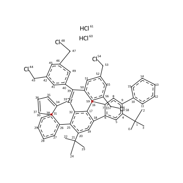 CC(C)(C)c1cc2c(cc1-c1ccccc1)Cc1c-2cc(C(C)(C)C)c(-c2ccccc2)[c]1[Zr]([C]1=CC=CC1)=[C](c1cc(CCl)cc(CCl)c1)c1cc(CCl)cc(CCl)c1.Cl.Cl